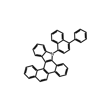 c1ccc(-c2ccc(-n3c4ccccc4c4c5c6ccccc6ccc5c5ccccc5c43)c3ccccc23)cc1